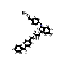 [N-]=[N+]=NCc1ccc(/C=C2\C=C(CC(=O)NCc3ccc(C(=O)c4ccccc4)cc3)c3cc(F)ccc32)cc1